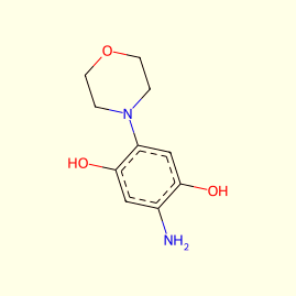 Nc1cc(O)c(N2CCOCC2)cc1O